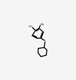 CC(C)(C)c1cc(SC2CCCCC2)ccc1O